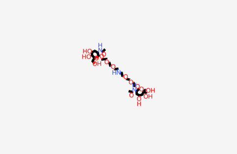 CC(=O)NC1CC(O)[C@@H](O)C(CO)O[C@H]1OCCOCCOCCNCCOCCOCCO[C@@H]1OC(CO)(CO)CC(O)CC1NC(C)=O